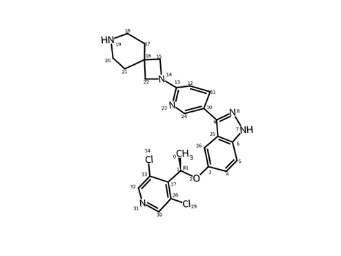 C[C@@H](Oc1ccc2[nH]nc(-c3ccc(N4CC5(CCNCC5)C4)nc3)c2c1)c1c(Cl)cncc1Cl